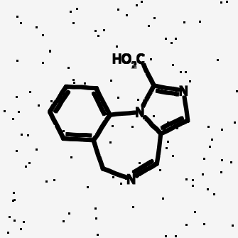 O=C(O)c1ncc2n1-c1ccccc1CN=C2